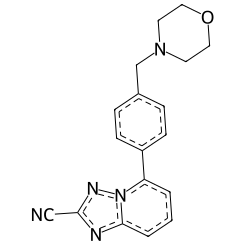 N#Cc1nc2cccc(-c3ccc(CN4CCOCC4)cc3)n2n1